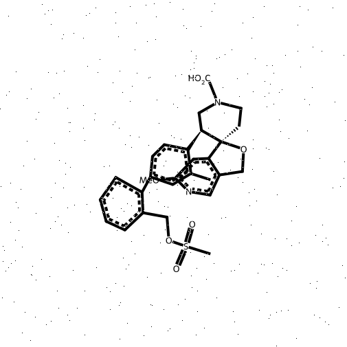 COc1cc2c(cn1)CO[C@@]21CCN(C(=O)O)C[C@@H]1c1ccc(-c2ccccc2COS(C)(=O)=O)cc1C